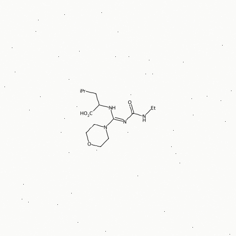 CCNC(=O)/N=C(\NC(CC(C)C)C(=O)O)N1CCOCC1